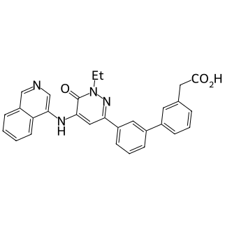 CCn1nc(-c2cccc(-c3cccc(CC(=O)O)c3)c2)cc(Nc2cncc3ccccc23)c1=O